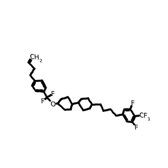 C=CCCc1ccc(C(F)(F)OC2CCC(C3CCC(CCCCc4cc(F)c(C(F)(F)F)c(F)c4)CC3)CC2)cc1